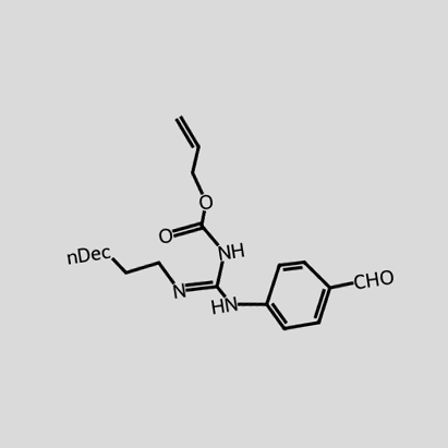 C=CCOC(=O)N/C(=N\CCCCCCCCCCCC)Nc1ccc(C=O)cc1